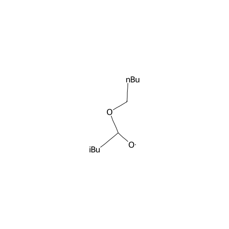 CCCCCOC([O])C(C)CC